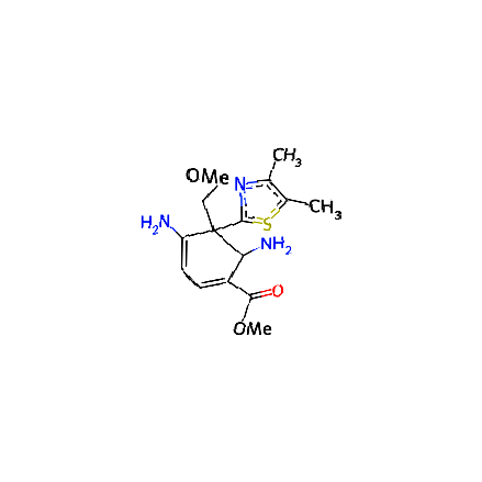 COCC1(c2nc(C)c(C)s2)C(N)=CC=C(C(=O)OC)C1N